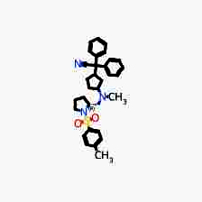 Cc1ccc(S(=O)(=O)N2CCC[C@@H]2CN(C)C2CCC(C(C#N)(c3ccccc3)c3ccccc3)C2)cc1